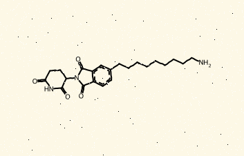 NCCCCCCCCCc1ccc2c(c1)C(=O)N(C1CCC(=O)NC1=O)C2=O